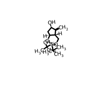 C=C1[C@H](O)C[C@@H]2O[Si](C(C)(C)C)(C(C)(C)C)OC[C@@H]12